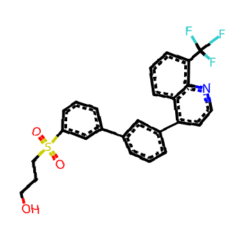 O=S(=O)(CCCO)c1cccc(-c2cccc(-c3ccnc4c(C(F)(F)F)cccc34)c2)c1